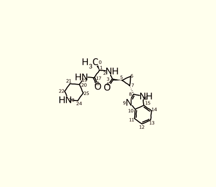 C[C@@H](NC(=O)[C@H]1C[C@@H]1c1nc2ccccc2[nH]1)C(=O)NC1CCNCC1